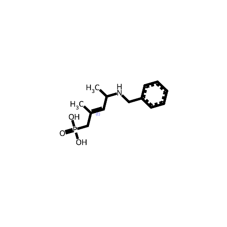 C/C(=C\C(C)NCc1ccccc1)CP(=O)(O)O